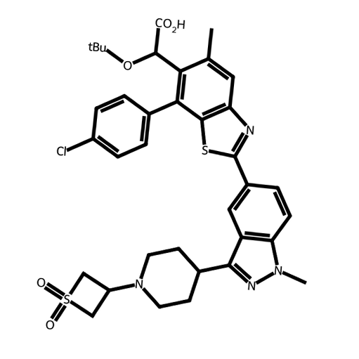 Cc1cc2nc(-c3ccc4c(c3)c(C3CCN(C5CS(=O)(=O)C5)CC3)nn4C)sc2c(-c2ccc(Cl)cc2)c1C(OC(C)(C)C)C(=O)O